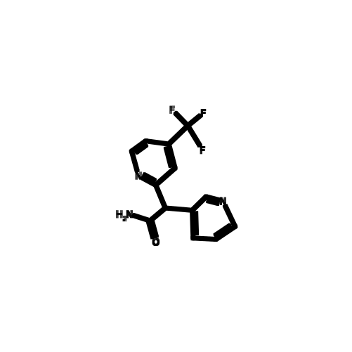 NC(=O)C(c1cccnc1)c1cc(C(F)(F)F)ccn1